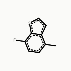 [CH2]c1ccc(F)c2sccc12